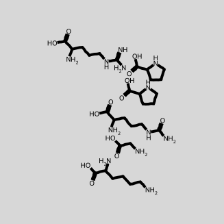 N=C(N)NCCCC(N)C(=O)O.NC(=O)NCCCC(N)C(=O)O.NCC(=O)O.NCCCCC(N)C(=O)O.O=C(O)C1CCCN1.O=C(O)C1CCCN1